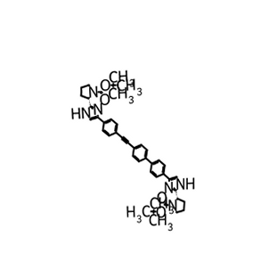 CC(C)(C)OC(=O)N1CCC[C@H]1c1nc(-c2ccc(C#Cc3ccc(-c4ccc(-c5c[nH]c([C@@H]6CCCN6C(=O)OC(C)(C)C)n5)cc4)cc3)cc2)c[nH]1